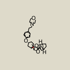 CC(C)(C)OC(=O)N1[C@@H]2CC[C@H]1C[C@H](O[C@H]1CC[C@H](Oc3ccc(CCN4CCOCC4)cc3)CC1)C2